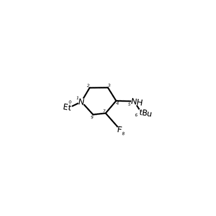 CCN1CCC(NC(C)(C)C)C(F)C1